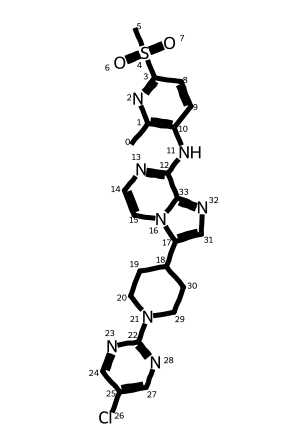 Cc1nc(S(C)(=O)=O)ccc1Nc1nccn2c(C3CCN(c4ncc(Cl)cn4)CC3)cnc12